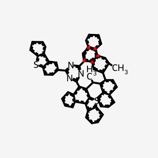 Cc1cc2ccccc2cc1-c1ccc2ccccc2c1C(C)c1c(-c2nc(-c3ccc4ccccc4c3)nc(-c3ccc4sc5ccccc5c4c3)n2)c2ccccc2c2c1sc1ccccc12